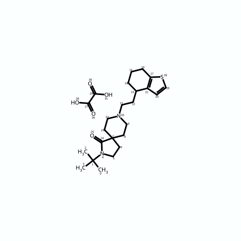 CC(C)(C)N1CCC2(CCN(CCC3CCCc4sccc43)CC2)C1=O.O=C(O)C(=O)O